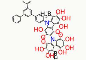 Bc1c(O)c(O)c2ooc3c(O)c4c(c5ooc6c(O)c(O)c(O)c7c1c2n(c35)c67)c1c(O)c(O)c(O)c(B)c1n4-c1ccc(-c2cc(-c3ccccc3)cc(-c3ccccc3)c2)cc1